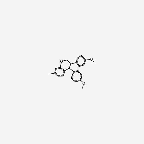 COc1ccc(C2COc3cc(C)ccc3C2c2ccc(OC)cc2)cc1